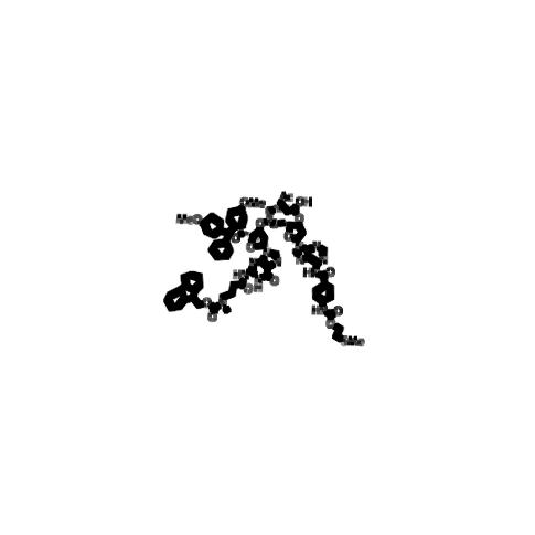 CCCOP(OC[C@H]1O[C@@H](n2cnc3c(NC(=O)c4ccc(NC(=O)OCCSC)cc4)ncnc32)CC1OC(O)CCC(C)=O)OC1C[C@H](n2cnc3c(=O)[nH]c(NC(=O)CCCN(C)C(=O)OCC4c5ccccc5-c5ccccc54)nc32)O[C@@H]1COC(c1ccccc1)(c1ccc(OC)cc1)c1ccc(OC)cc1